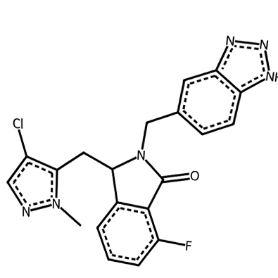 Cn1ncc(Cl)c1CC1c2cccc(F)c2C(=O)N1Cc1ccc2[nH]nnc2c1